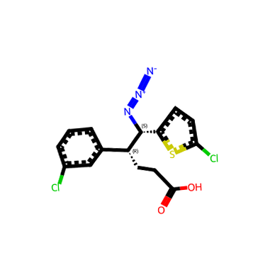 [N-]=[N+]=N[C@H](c1ccc(Cl)s1)[C@H](CCC(=O)O)c1cccc(Cl)c1